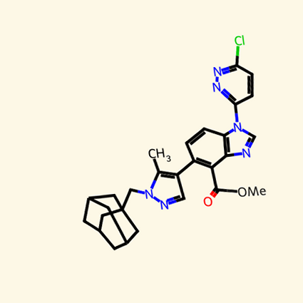 COC(=O)c1c(-c2cnn(CC34CC5CC(CC(C5)C3)C4)c2C)ccc2c1ncn2-c1ccc(Cl)nn1